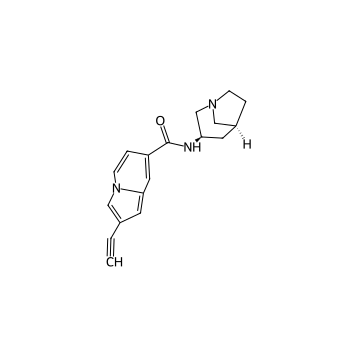 C#Cc1cc2cc(C(=O)N[C@@H]3C[C@@H]4CCN(C4)C3)ccn2c1